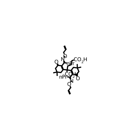 C=CCON=C(CCC)C1=C(C(CCCC(=O)O)(C(=O)O)C2=C(C(CCC)=NOCC=C)C(=O)CC(C)(C)C2)CC(C)(C)CC1=O